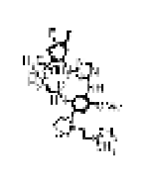 C=CC(=O)Nc1cc(Nc2ncnc(Nc3cc(F)c(F)cc3C(C)(C)O)n2)c(OC)cc1N1CCOC[C@@H]1CCN(C)C